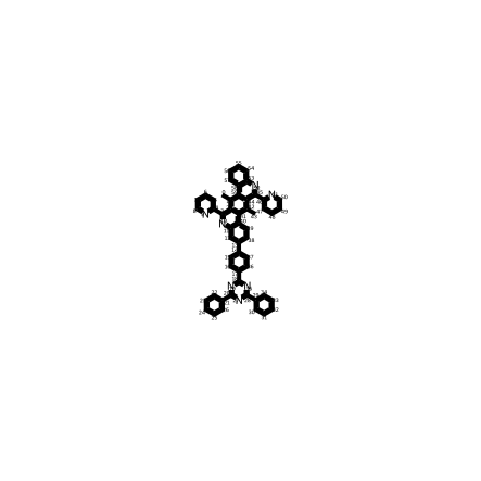 Cc1c2c(-c3ccccn3)nc3cc(-c4ccc(-c5nc(-c6ccccc6)nc(-c6ccccc6)n5)cc4)ccc3c2c(C)c2c(-c3ccccn3)nc3ccccc3c12